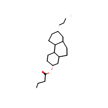 CCCC(=O)O[C@H]1CCC2C(CCC3C[C@@H](CCC)CCC32)C1